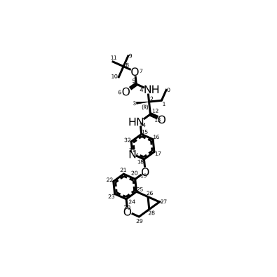 CC[C@@](C)(NC(=O)OC(C)(C)C)C(=O)Nc1ccc(Oc2cccc3c2C2CC2CO3)nc1